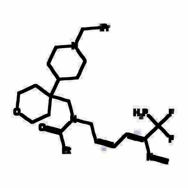 C=N/C(=C\C=C/CN(CC1(C2CCN(CC(C)C)CC2)CCOCC1)C(=O)CC)C(F)(F)P